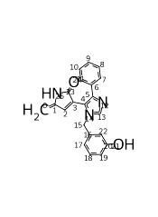 C=C1C=C(c2c(-c3ccccc3)ncn2Cc2cccc(O)c2)C(=O)N1